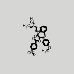 CCN(CC)CCN1C(=O)[C@H](OC(=O)c2ccc([N+](=O)[O-])cc2)[C@H](c2ccc(OC)cc2)Sc2ccccc21